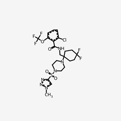 Cn1cc(S(=O)(=O)N2CCN(C3(CNC(=O)c4c(Cl)cccc4OC(F)(F)F)CCC(F)(F)CC3)CC2)nn1